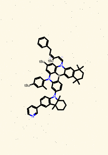 Cc1cc(C(C)(C)C)ccc1N1c2cc(N3c4ccc(-c5cccnc5)cc4C4(C)CCCCC34C)ccc2B2c3cc4c(cc3N(/C=C\C(=C/Cc3ccccc3)C(C)(C)C)c3cc(C(C)(C)C)cc1c32)C(C)(C)CCC4(C)C